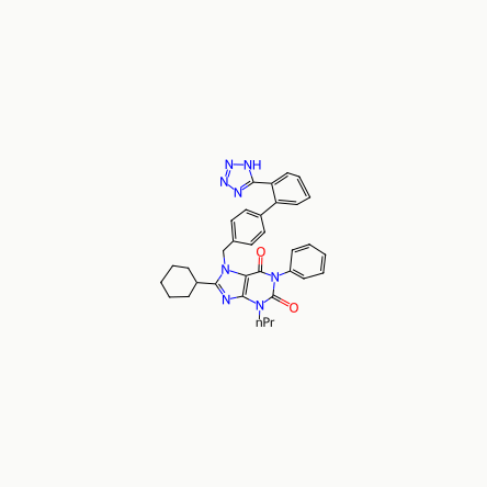 CCCn1c(=O)n(-c2ccccc2)c(=O)c2c1nc(C1CCCCC1)n2Cc1ccc(-c2ccccc2-c2nnn[nH]2)cc1